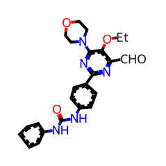 CCOc1c(C=O)nc(-c2ccc(NC(=O)Nc3ccccc3)cc2)nc1N1CCOCC1